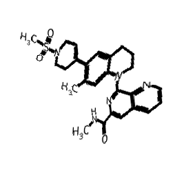 CNC(=O)c1cc2cccnc2c(N2CCCc3cc(C4=CCN(S(C)(=O)=O)CC4)c(C)cc32)n1